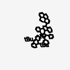 CC(C)(C)c1c2ccccc2c(C(C)(C)C)c2cc(-n3c(-c4ccccc4)c(-c4ccccc4)c4c5c6ccccc6c(-c6ccc7ccc8cccc9ccc6c7c89)cc5c5ccccc5c43)ccc12